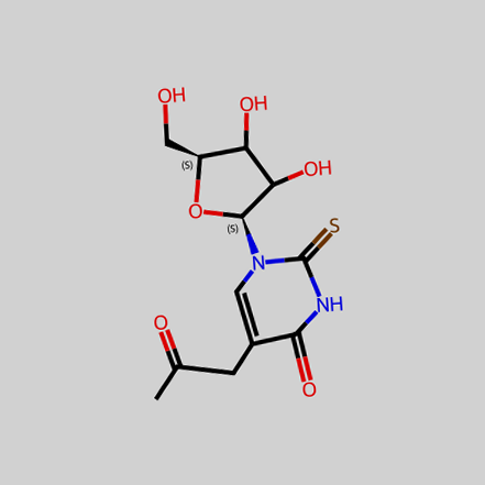 CC(=O)Cc1cn([C@H]2O[C@@H](CO)C(O)C2O)c(=S)[nH]c1=O